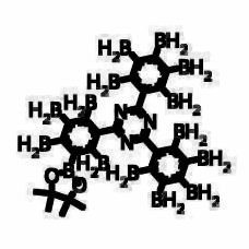 Bc1c(B)c(B)c(-c2nc(-c3c(B)c(B)c(B)c(B)c3B)nc(-c3c(B)c(B)c(B)c(B4OC(C)(C)C(C)(C)O4)c3B)n2)c(B)c1B